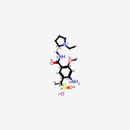 CCN1CCC[C@H]1CNC(=O)c1cc([C@H](C)[SH](=O)=O)c(N)cc1OC